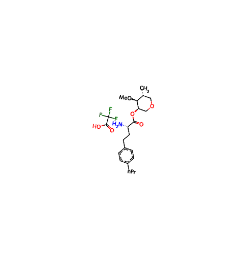 CCCc1ccc(CC[C@H](N)C(=O)O[C@@H]2COC[C@@H](C)[C@@H]2OC)cc1.O=C(O)C(F)(F)F